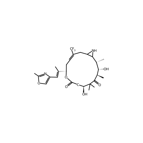 C/C(=C\c1coc(C)n1)[C@@H]1C/C=C(/C(F)(F)F)CC2NC2[C@H](C)[C@H](O)[C@@H](C)C(=O)C(C)(C)[C@@H](O)CC(=O)O1